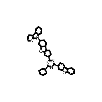 c1ccc(-c2nc(-c3ccc4c(c3)oc3ccccc34)nc(-c3ccc4c(c3)oc3cc(-n5c6ccccc6c6cccnc65)ccc34)n2)cc1